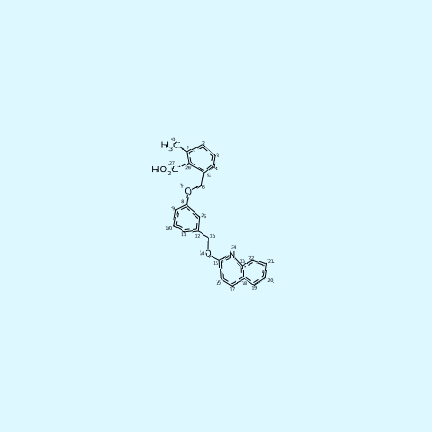 Cc1cccc(COc2cccc(COc3ccc4ccccc4n3)c2)c1C(=O)O